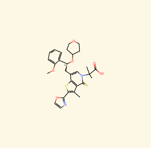 COc1ccccc1[C@H](Cc1cn(C(C)(C)C(=O)O)c(=S)c2c(C)c(-c3ncco3)sc12)OC1CCOCC1